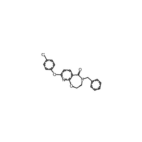 O=C1c2ccc(Oc3ccc(Cl)cc3)nc2OCCN1Cc1ccccc1